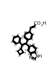 O=C(O)C=Cc1ccc(C(=C(c2ccccc2)C2CCC2)c2ccc3[nH]nnc3c2)cc1